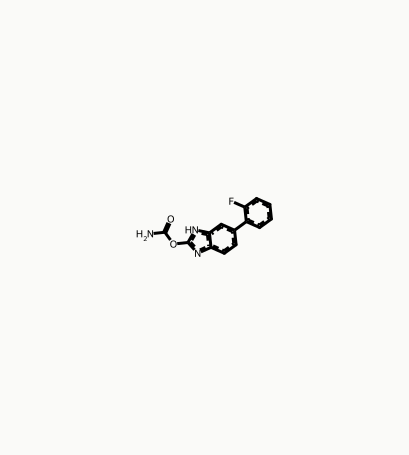 NC(=O)Oc1nc2ccc(-c3ccccc3F)cc2[nH]1